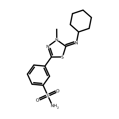 Cn1nc(-c2cccc(S(N)(=O)=O)c2)s/c1=N/C1CCCCC1